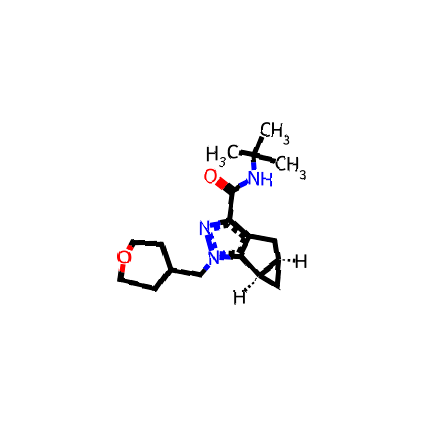 CC(C)(C)NC(=O)c1nn(CC2CCOCC2)c2c1C[C@H]1C[C@@H]21